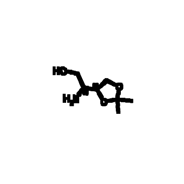 CC1(C)OC[C@H]([C@@H](N)CO)O1